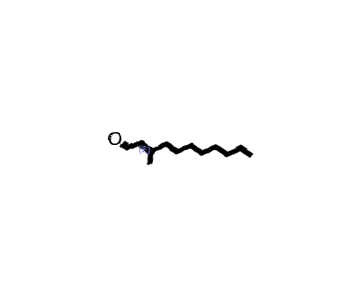 CCCCCCCC/C(C)=C/C=O